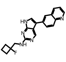 FC1(CNc2ncc3c(-c4ccc5ncccc5c4)c[nH]c3n2)CCC1